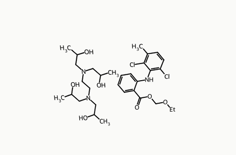 CC(O)CN(CCN(CC(C)O)CC(C)O)CC(C)O.CCOCOC(=O)c1ccccc1Nc1c(Cl)ccc(C)c1Cl